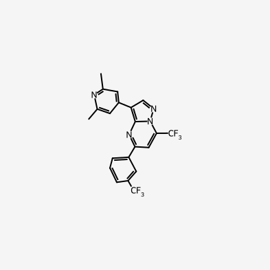 Cc1cc(-c2cnn3c(C(F)(F)F)cc(-c4cccc(C(F)(F)F)c4)nc23)cc(C)n1